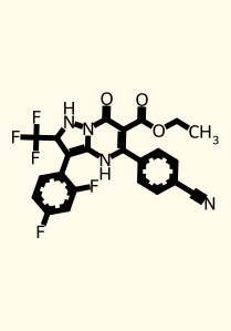 CCOC(=O)C1=C(c2ccc(C#N)cc2)NC2=C(c3ccc(F)cc3F)C(C(F)(F)F)NN2C1=O